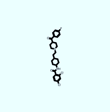 O=C(NC1CCC(CCN2CCC(C(=O)c3ccc(F)cc3)CC2)CC1)c1ccc(Cl)cc1Cl